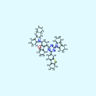 c1ccc2cc3c(cc2c1)c1ccccc1n3-c1ccc(-c2nc(-c3ccc4c(c3)sc3ccccc34)nc(-n3c4ccccc4c4ccccc43)n2)c2c1oc1ccccc12